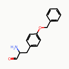 NC(C=O)Cc1ccc(OCc2ccccc2)cc1